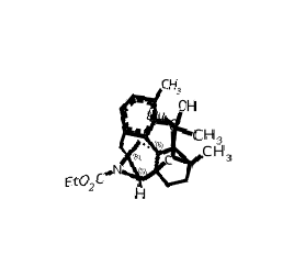 CCOC(=O)N1[C@H]2C34CCC(C)(C(C(C)(O)C(C)(C)C)C3)C3Oc5c(C)ccc6c5[C@@]34C[C@]21C6